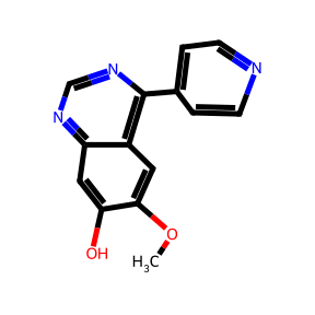 COc1cc2c(-c3ccncc3)ncnc2cc1O